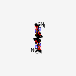 Cc1ccc(C2(c3ccc(C)cc3)c3cc4c(cc3-c3ccc5sc(-c6nc7sc(/C=C8\C(=O)c9ccccc9C8=C(C#N)C#N)nc7s6)cc5c32)C(c2ccc(C)cc2)(c2ccc(C)cc2)c2c-4ccc3sc(-c4nc5sc(/C=C6\C(=O)c7ccccc7C6=C(C#N)C#N)nc5s4)cc23)cc1